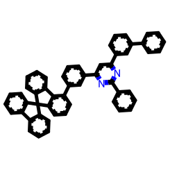 c1ccc(-c2cccc(-c3cc(-c4cccc(-c5cccc6c5-c5ccccc5C65c6ccccc6-c6ccccc65)c4)nc(-c4ccccc4)n3)c2)cc1